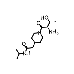 CC(C)NC(=O)CC1CCN(C(=O)[C@@H](N)[C@@H](C)O)CC1